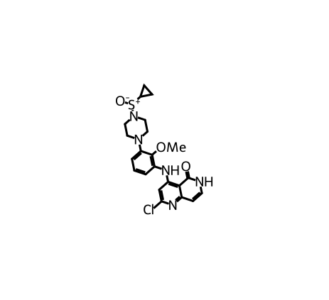 COc1c(Nc2cc(Cl)nc3cc[nH]c(=O)c23)cccc1N1CCN([S+]([O-])C2CC2)CC1